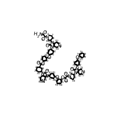 NC(=O)C(=O)N1CCCC(n2c(=O)n(-c3ccc(Oc4cccc(OC(=O)C5CCCC(n6c(=O)n(-c7ccc(Oc8ccccc8OC(=O)C(=O)N8CCCC(n9c(=O)n(-c%10ccc(Oc%11ccccc%11)cc%10)c%10cnccc%109)C8)cc7)c7cnccc76)C5)c4)cc3)c3cnccc32)C1